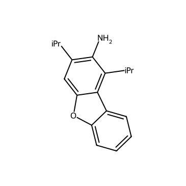 CC(C)c1cc2oc3ccccc3c2c(C(C)C)c1N